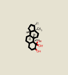 CC[C@H]1CC[C@H]2[C@@H]3CCC4CCC(O)C(O)(O)[C@]4(C)[C@H]3CC[C@]12C